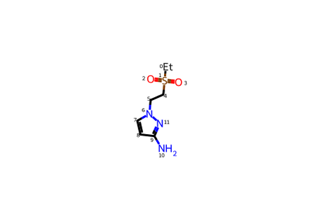 CCS(=O)(=O)CCn1ccc(N)n1